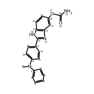 CN(c1ccccc1)c1ccc(-c2nc3cc(OC(N)=O)ccc3[nH]2)cc1